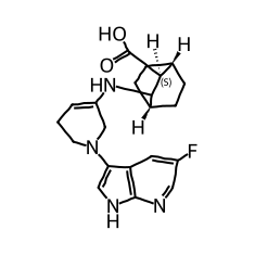 O=C(O)[C@@H]1C(NC2=CCCN(c3c[nH]c4ncc(F)cc34)C2)[C@H]2CC[C@@H]1CC2